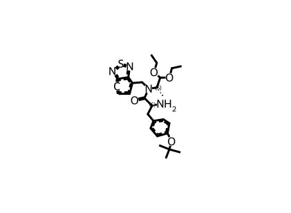 CCOC(OCC)[C@H](C)N(Cc1cccc2nsnc12)C(=O)[C@@H](N)Cc1ccc(OC(C)(C)C)cc1